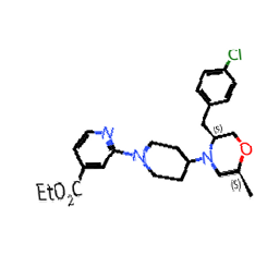 CCOC(=O)c1ccnc(N2CCC(N3C[C@H](C)OC[C@@H]3Cc3ccc(Cl)cc3)CC2)c1